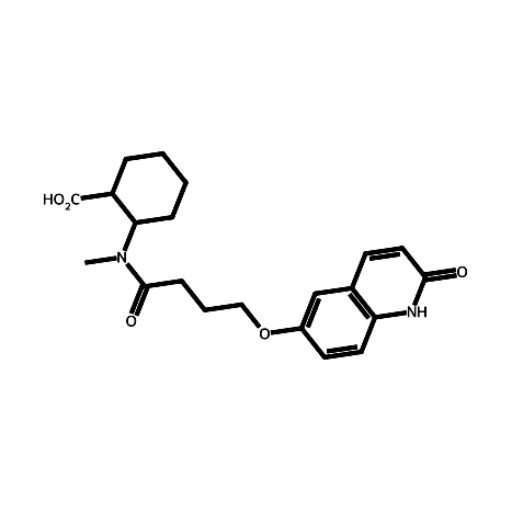 CN(C(=O)CCCOc1ccc2[nH]c(=O)ccc2c1)C1CCCCC1C(=O)O